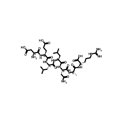 CC(C)C[C@H](NC(=O)[C@H](CC(C)C)NC(=O)[C@H](CCC(=O)O)NC(=O)[C@@H](N)CC(=O)O)C(=O)N[C@@H](CC(N)=O)C(=O)N[C@@H](C)C(=O)N[C@@H](CCCNC(=N)N)C(=O)O